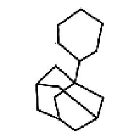 [CH]1CCCCC1C12CC3CC(CC(C3)C1)C2